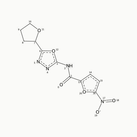 O=C(Nc1nnc(C2CCCO2)o1)c1ccc([N+](=O)[O-])o1